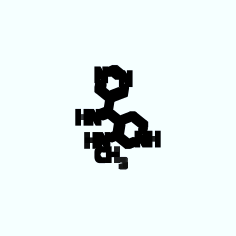 CNC1=C(C(=N)c2cncnc2)CCNC1